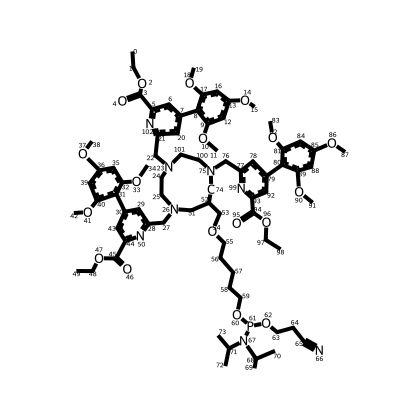 CCOC(=O)c1cc(-c2c(OC)cc(OC)cc2OC)cc(CN2CCN(Cc3cc(-c4c(OC)cc(OC)cc4OC)cc(C(=O)OCC)n3)CC(COCCCCCOP(OCCC#N)N(C(C)C)C(C)C)CN(Cc3cc(-c4c(OC)cc(OC)cc4OC)cc(C(=O)OCC)n3)CC2)n1